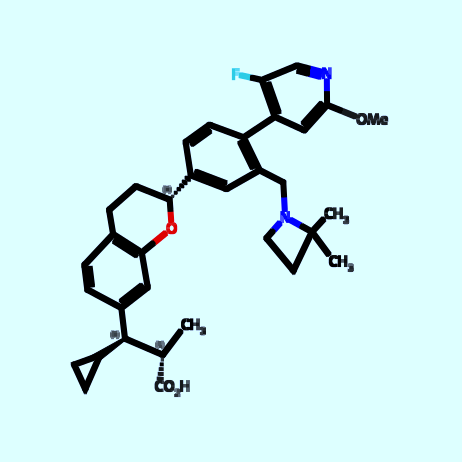 COc1cc(-c2ccc([C@H]3CCc4ccc([C@H](C5CC5)[C@H](C)C(=O)O)cc4O3)cc2CN2CCC2(C)C)c(F)cn1